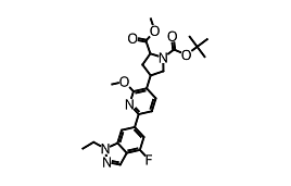 CCn1ncc2c(F)cc(-c3ccc(C4CC(C(=O)OC)N(C(=O)OC(C)(C)C)C4)c(OC)n3)cc21